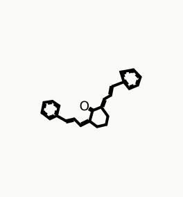 O=C1C(=CC=Cc2ccccc2)CCCC1=CC=Cc1ccccc1